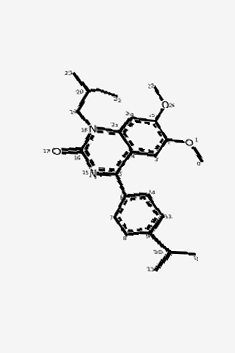 COc1cc2c(-c3ccc(C(C)C)cc3)nc(=O)n(CC(C)C)c2cc1OC